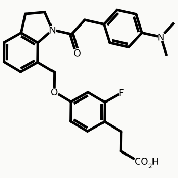 CN(C)c1ccc(CC(=O)N2CCc3cccc(COc4ccc(CCC(=O)O)c(F)c4)c32)cc1